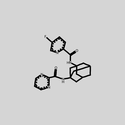 O=C(NC12CC3CC(C1)CC(NC(=O)c1ncccn1)(C3)C2)c1ccc(F)cn1